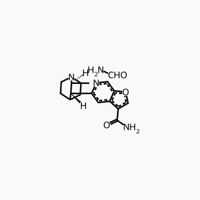 C[C@H]1[C@H](c2cc3c(C(N)=O)coc3cn2)C2CCN1CC2.NC=O